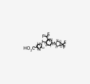 O=C(O)c1cn(Cc2ccc(N3CC4C(C3)C4(F)F)nc2C(F)F)cn1